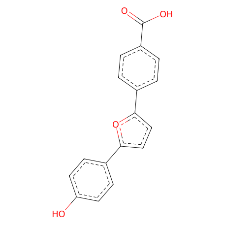 O=C(O)c1ccc(-c2ccc(-c3ccc(O)cc3)o2)cc1